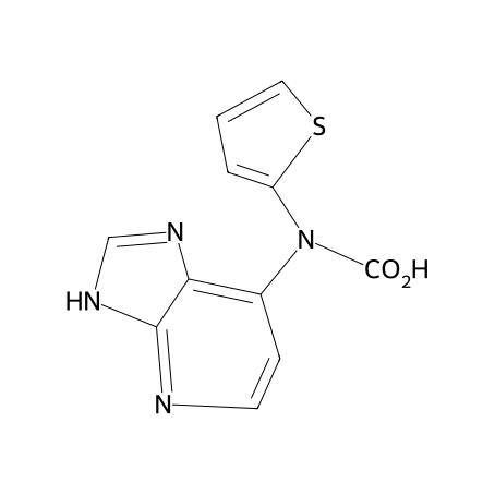 O=C(O)N(c1cccs1)c1ccnc2[nH]cnc12